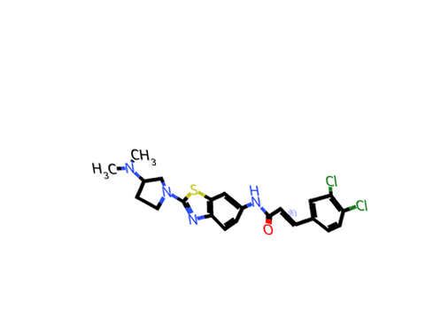 CN(C)C1CCN(c2nc3ccc(NC(=O)/C=C/c4ccc(Cl)c(Cl)c4)cc3s2)C1